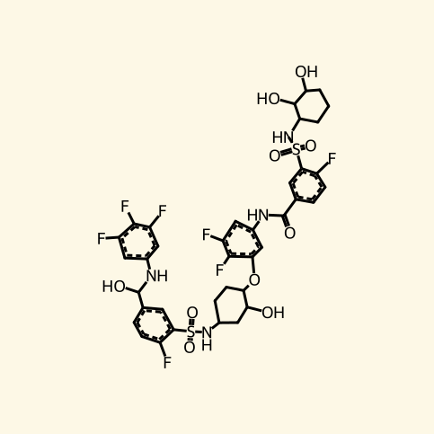 O=C(Nc1cc(F)c(F)c(OC2CCC(NS(=O)(=O)c3cc(C(O)Nc4cc(F)c(F)c(F)c4)ccc3F)CC2O)c1)c1ccc(F)c(S(=O)(=O)NC2CCCC(O)C2O)c1